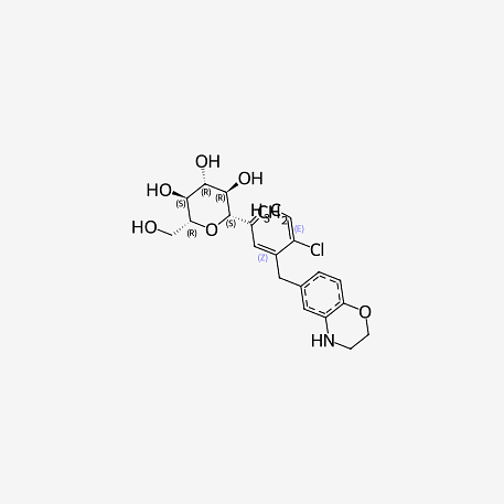 C=C(/C=C(Cc1ccc2c(c1)NCCO2)\C(Cl)=C/C)[C@@H]1O[C@H](CO)[C@@H](O)[C@H](O)[C@H]1O